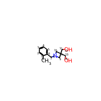 Cc1ccccc1CN1CC(CO)(CO)C1